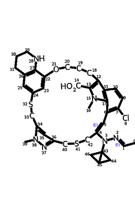 C/C=N/N(/C1=C/c2c(Cl)ccc3c(c(C(=O)O)n(C)c23)CCCOc2cc(cc3c2NCCC3)SCc2cc(nn2C)CSC1)C12CC1C2